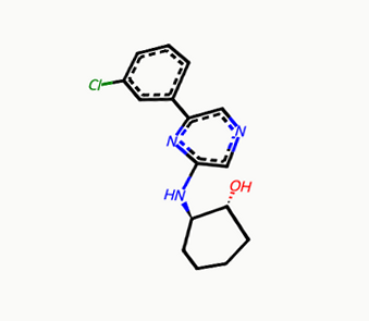 O[C@@H]1CCCC[C@H]1Nc1cncc(-c2cccc(Cl)c2)n1